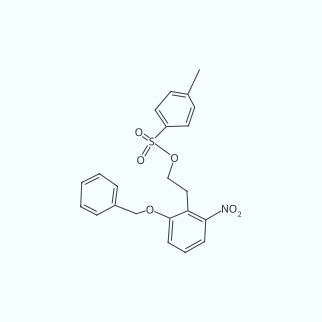 Cc1ccc(S(=O)(=O)OCCc2c(OCc3ccccc3)cccc2[N+](=O)[O-])cc1